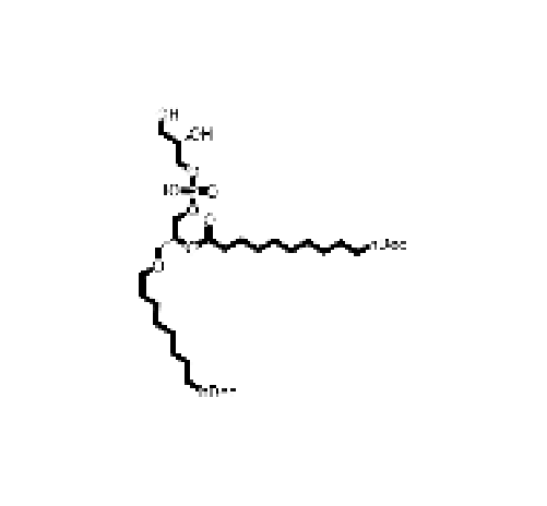 CCCCCCCCCCCCCCCC/C=C\OC[C@H](COP(=O)(O)OC[C@@H](O)CO)OC(=O)CCCCCCCCCCCCCCCCCCC